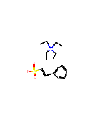 CC[N+](CC)(CC)CC.O=S(=O)([O-])C=Cc1ccccc1